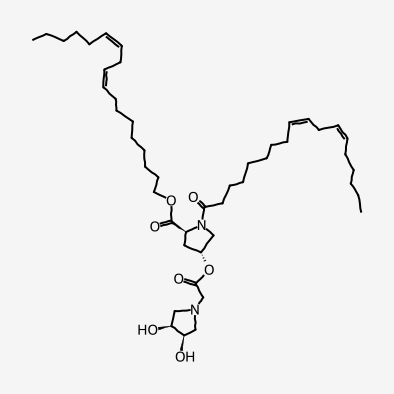 CCCCC/C=C\C/C=C\CCCCCCCCOC(=O)[C@@H]1C[C@@H](OC(=O)CN2C[C@@H](O)[C@@H](O)C2)CN1C(=O)CCCCCCC/C=C\C/C=C\CCCCC